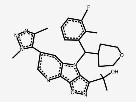 Cc1nnn(C)c1-c1cnc2c3onc(C(C)(C)O)c3n(C(c3cccc(F)c3C)C3CCOCC3)c2c1